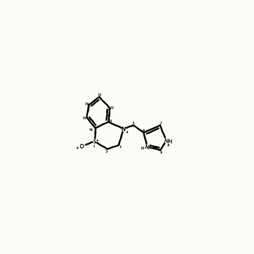 [O-][S+]1CCN(Cc2c[nH]cn2)c2ccccc21